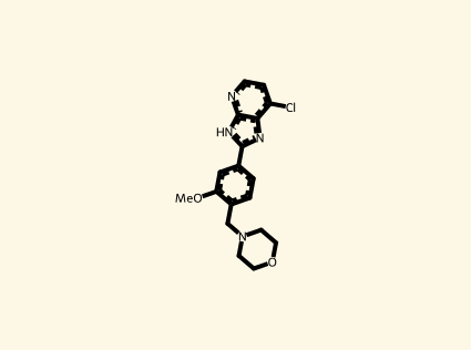 COc1cc(-c2nc3c(Cl)ccnc3[nH]2)ccc1CN1CCOCC1